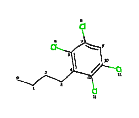 CCCCc1c(Cl)c(Cl)[c]c(Cl)c1Cl